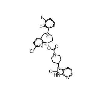 O=C(O[C@H]1CC[C@H](c2cccc(F)c2F)Cc2ccc(Cl)nc21)N1CCC(n2c(=O)[nH]c3ncccc32)CC1